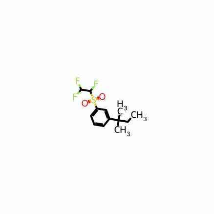 CCC(C)(C)c1cccc(S(=O)(=O)C(F)C(F)F)c1